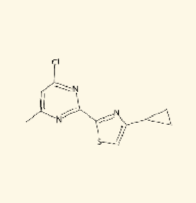 Cc1cc(Cl)nc(-c2nc(C3CC3)cs2)n1